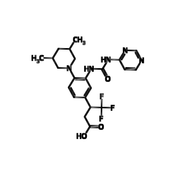 CC1CC(C)CN(c2ccc(C(CC(=O)O)C(F)(F)F)cc2NC(=O)Nc2ccncn2)C1